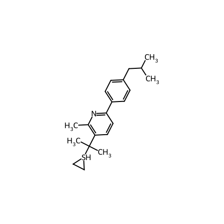 Cc1nc(-c2ccc(CC(C)C)cc2)ccc1C(C)(C)[SH]1CC1